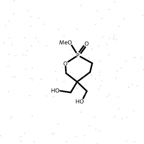 COP1(=O)CCC(CO)(CO)CO1